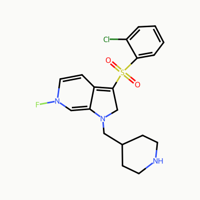 O=S(=O)(C1=C2C=CN(F)C=C2N(CC2CCNCC2)C1)c1ccccc1Cl